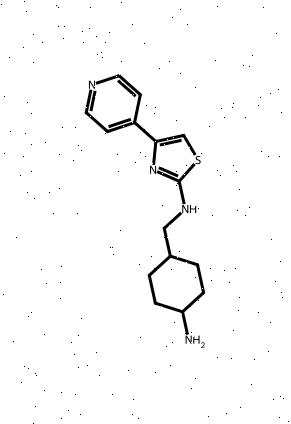 NC1CCC(CNc2nc(-c3ccncc3)cs2)CC1